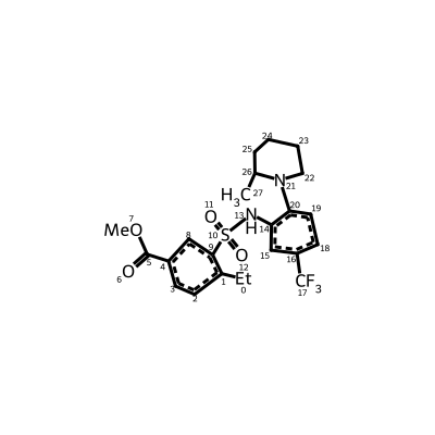 CCc1ccc(C(=O)OC)cc1S(=O)(=O)Nc1cc(C(F)(F)F)ccc1N1CCCCC1C